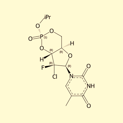 Cc1cn([C@@H]2O[C@@H]3CO[P@@](=O)(OC(C)C)O[C@H]3[C@@]2(F)Cl)c(=O)[nH]c1=O